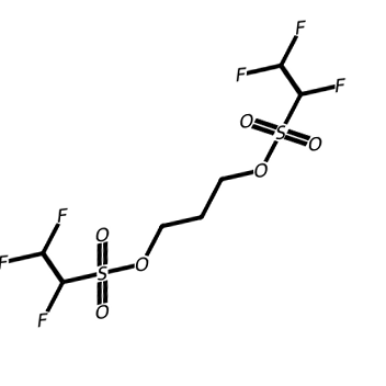 O=S(=O)(OCCCOS(=O)(=O)C(F)C(F)F)C(F)C(F)F